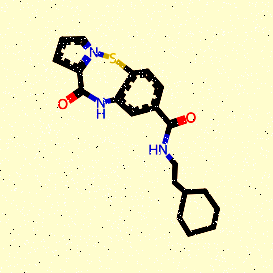 O=C(NCCC1CCCCC1)c1ccc2c(c1)NC(=O)c1cccn1S2